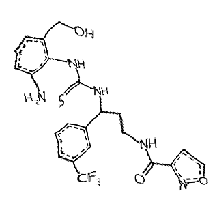 Nc1cccc(CO)c1NC(=S)NC(CCNC(=O)c1ccon1)c1cccc(C(F)(F)F)c1